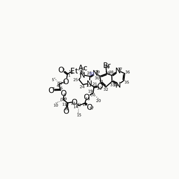 C[CH]C(=O)O[C@@H](C)C(=O)O[C@@H](C)C(=O)O[C@@H](C)C(=O)O[C@@H](C)C(=O)N1CCN(C(C)=O)/C1=N/c1ccc2nccnc2c1Br